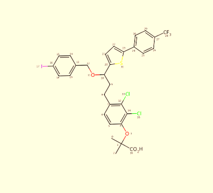 CC(C)(Oc1ccc(CCC(OCc2ccc(I)cc2)c2ccc(-c3ccc(C(F)(F)F)cc3)s2)c(Cl)c1Cl)C(=O)O